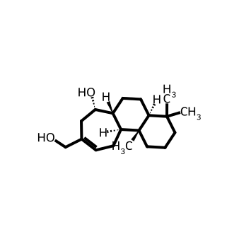 CC1(C)CCC[C@]2(C)[C@H]3CC=C(CO)C[C@H](O)[C@@H]3CC[C@@H]12